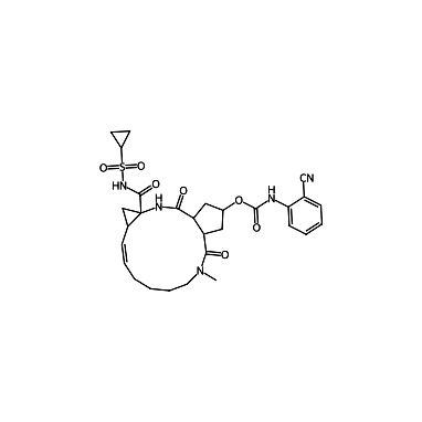 CN1CCCCC=CC2CC2(C(=O)NS(=O)(=O)C2CC2)NC(=O)C2CC(OC(=O)Nc3ccccc3C#N)CC2C1=O